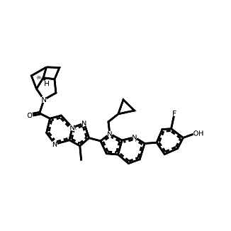 Cc1c(-c2cc3ccc(-c4ccc(O)c(F)c4)nc3n2CC2CC2)nn2cc(C(=O)N3CC4CC5CC3[C@H]54)cnc12